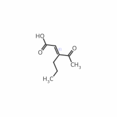 CCC/C(=C\C(=O)O)C(C)=O